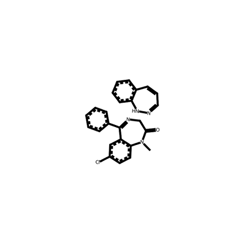 C1=Cc2ccccc2NN=C1.CN1C(=O)CN=C(c2ccccc2)c2cc(Cl)ccc21